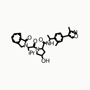 Cc1cc(-c2conc2C)ccc1C(C)NC(=O)C1CC(O)CN1C(=O)C(C(C)C)N1Cc2ccccc2C1=O